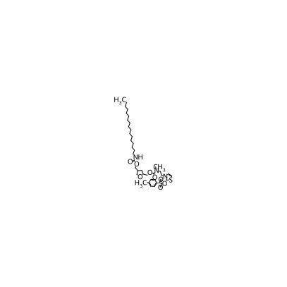 CCCCCCCCCCCCCCCCCNC(=O)OCC1COC(COC(=O)N(C)CCN2C=CSC2OS(=O)(=O)c2ccc(C)cc2)C1